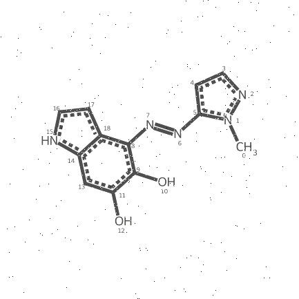 Cn1nccc1/N=N/c1c(O)c(O)cc2[nH]ccc12